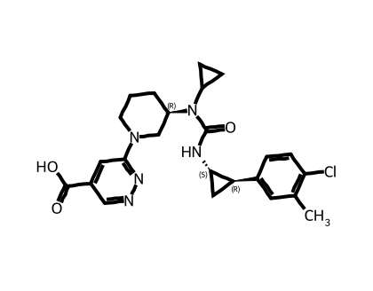 Cc1cc([C@H]2C[C@@H]2NC(=O)N(C2CC2)[C@@H]2CCCN(c3cc(C(=O)O)cnn3)C2)ccc1Cl